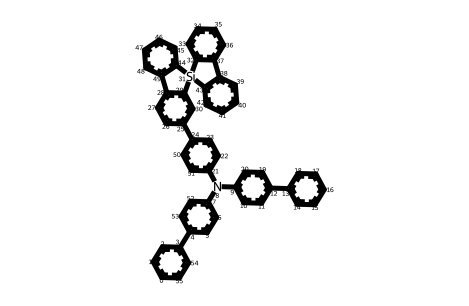 c1ccc(-c2ccc(N(c3ccc(-c4ccccc4)cc3)c3ccc(-c4ccc5c(c4)[Si]4(c6ccccc6-c6ccccc64)c4ccccc4-5)cc3)cc2)cc1